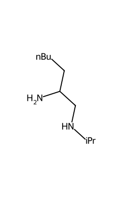 CCCCCC(N)CNC(C)C